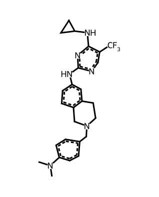 CN(C)c1ccc(CN2CCc3cc(Nc4ncc(C(F)(F)F)c(NC5CC5)n4)ccc3C2)cc1